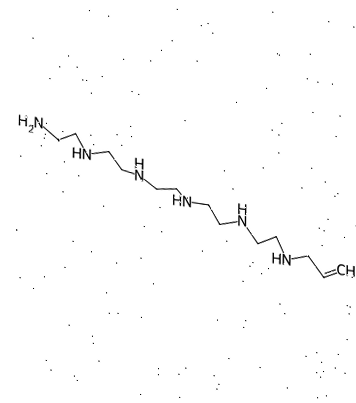 C=CCNCCNCCNCCNCCNCCN